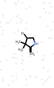 C=C1NCC(CC)C1(C)C